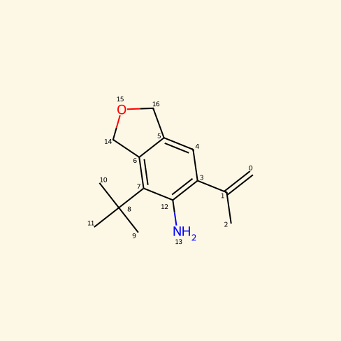 C=C(C)c1cc2c(c(C(C)(C)C)c1N)COC2